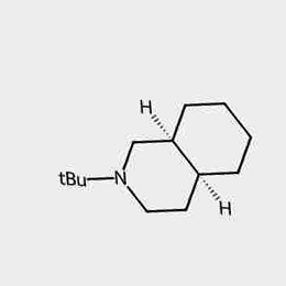 CC(C)(C)N1CC[C@@H]2CCCC[C@@H]2C1